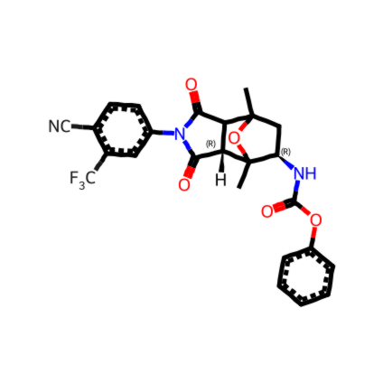 CC12C[C@@H](NC(=O)Oc3ccccc3)C(C)(O1)[C@@H]1C(=O)N(c3ccc(C#N)c(C(F)(F)F)c3)C(=O)C12